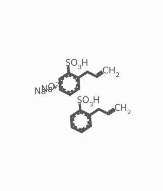 C=CCc1ccccc1S(=O)(=O)O.C=CCc1ccccc1S(=O)(=O)O.[Na+].[Na+].[O-2]